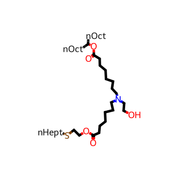 CCCCCCCCC(CCCCCCCC)OC(=O)CCCCCCCN(CCO)CCCCCCC(=O)OCCSCCCCCCC